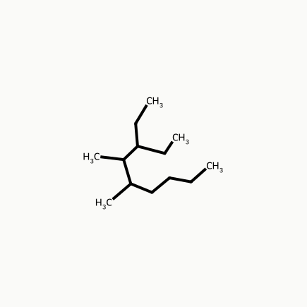 CCCCC(C)C(C)C(CC)CC